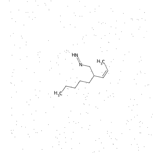 C/C=C\C(CCCCC)CN=N